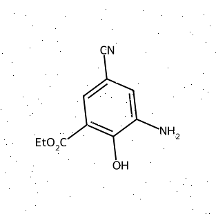 CCOC(=O)c1cc(C#N)cc(N)c1O